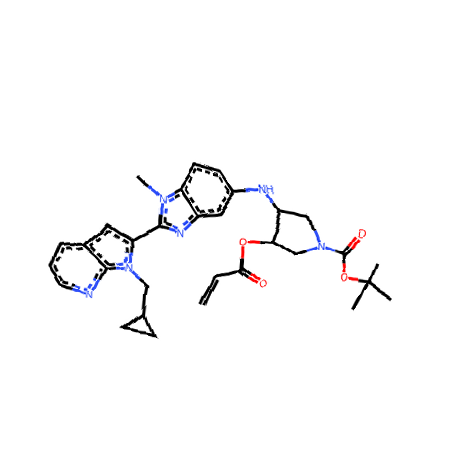 C=CC(=O)OC1CN(C(=O)OC(C)(C)C)CC1Nc1ccc2c(c1)nc(-c1cc3cccnc3n1CC1CC1)n2C